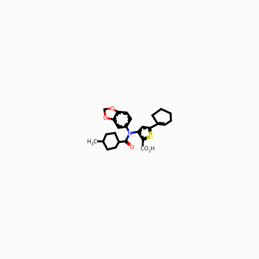 CC1CCC(C(=O)N(c2ccc3c(c2)OCO3)c2cc(C3=CCCCC3)sc2C(=O)O)CC1